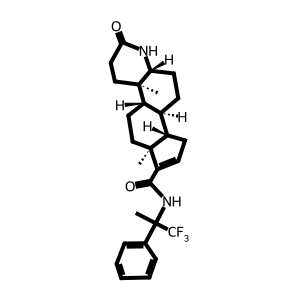 CC(NC(=O)C1=CC[C@H]2[C@@H]3CC[C@H]4NC(=O)CC[C@]4(C)[C@H]3CC[C@]12C)(c1ccccc1)C(F)(F)F